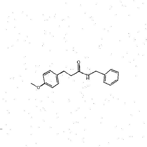 COc1ccc(CCC(=O)NCc2ccccc2)cc1